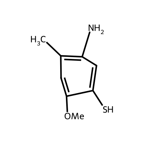 COc1cc(C)c(N)cc1S